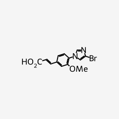 COc1cc(/C=C/C(=O)O)ccc1-n1cnc(Br)c1